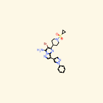 Nc1c(Br)c(C2CCN(S(=O)(=O)C3CC3)CC2)nc2c(-c3cnn(-c4ccccc4)c3)cnn12